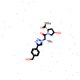 CNC(=O)[C@@H]1C[C@@H](O)CN1C(=O)[C@@H](n1cc(-c2ccc(CO)cc2)nn1)C(C)(C)C